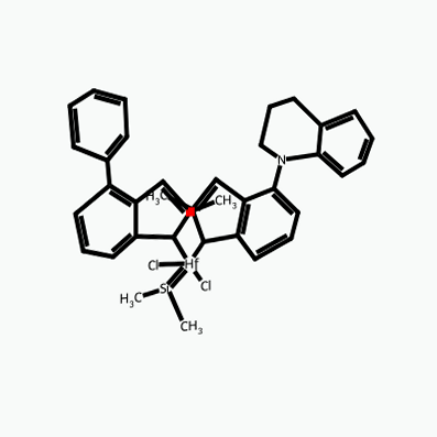 CC1=Cc2c(-c3ccccc3)cccc2[CH]1[Hf]([Cl])([Cl])([CH]1C(C)=Cc2c1cccc2N1CCCc2ccccc21)=[Si](C)C